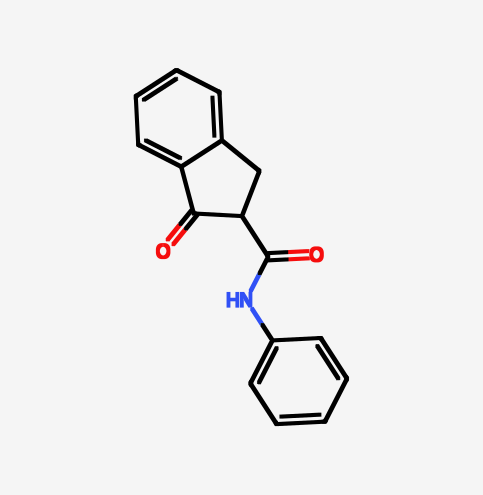 O=C(Nc1ccccc1)C1Cc2ccccc2C1=O